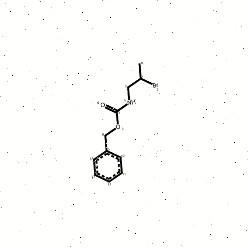 CC(Br)CNC(=O)OCc1ccccc1